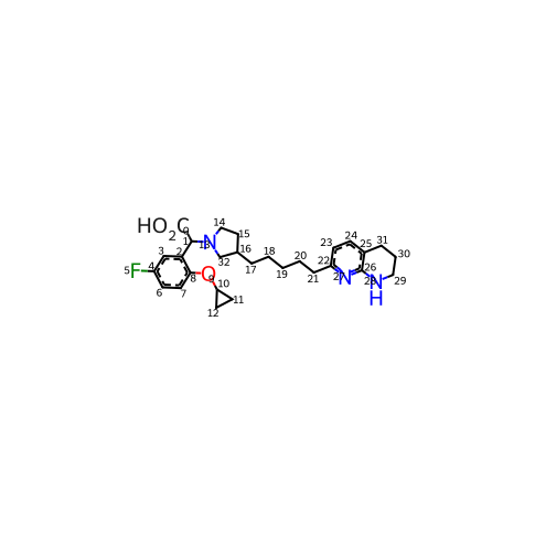 O=C(O)C(c1cc(F)ccc1OC1CC1)N1CCC(CCCCCc2ccc3c(n2)NCCC3)C1